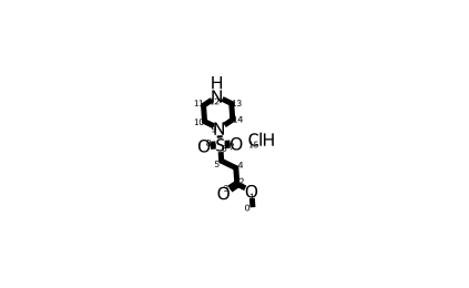 COC(=O)CCS(=O)(=O)N1CCNCC1.Cl